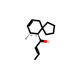 C/C=C/C(=O)[C@H]1[C@H](C)C=CCC12CCCC2